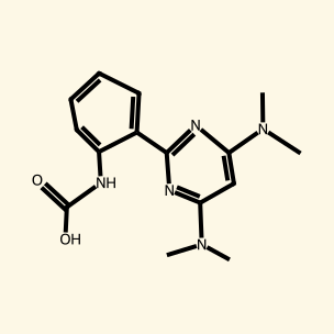 CN(C)c1cc(N(C)C)nc(-c2ccccc2NC(=O)O)n1